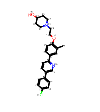 Cc1cc(-c2ccc(-c3ccc(Cl)cc3)cn2)ccc1OCCN1CCC(O)CC1